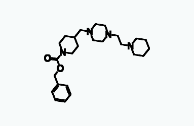 O=C(OCc1ccccc1)N1CCC(CN2CCN(CCN3CCCCC3)CC2)CC1